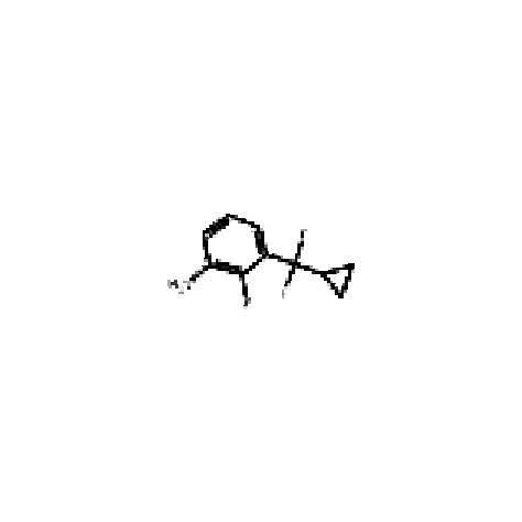 Nc1cccc(C(F)(F)C2CC2)c1F